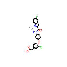 Cn1c(C(=O)Nc2ccc(Oc3ccc(CC(=O)O)cc3Cl)cc2)cc2cc(Cl)ccc21